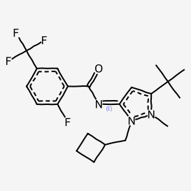 Cn1c(C(C)(C)C)c/c(=N\C(=O)c2cc(C(F)(F)F)ccc2F)n1CC1CCC1